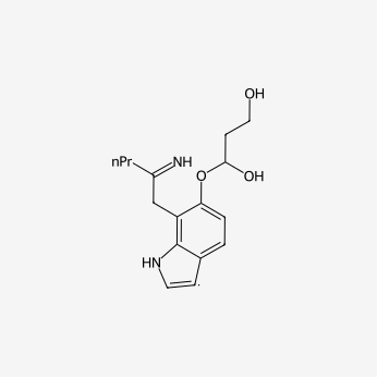 CCCC(=N)Cc1c(OC(O)CCO)ccc2[c]c[nH]c12